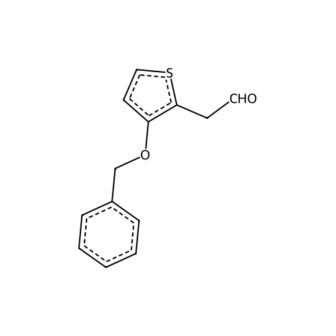 O=CCc1sccc1OCc1ccccc1